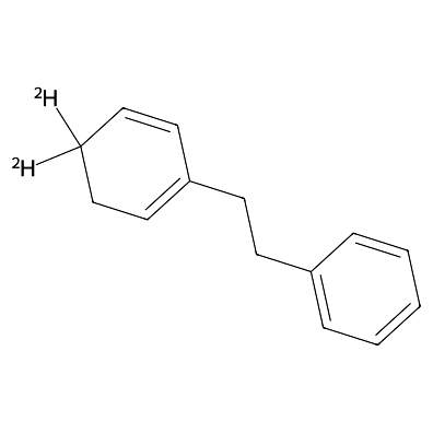 [2H]C1([2H])C=CC(CCc2ccccc2)=CC1